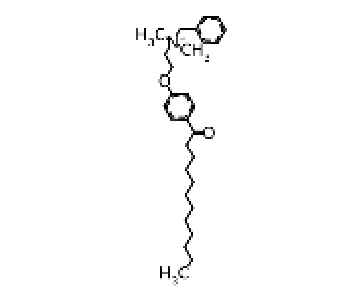 CCCCCCCCCCCC(=O)c1ccc(OCC[N+](C)(C)Cc2ccccc2)cc1